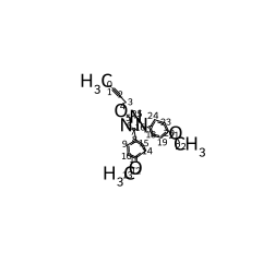 CC#CCOc1nc(-c2ccc(OC)cc2)n(-c2ccc(OC)cc2)n1